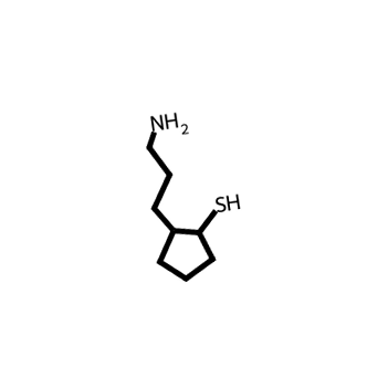 NCCCC1CCCC1S